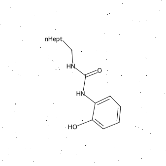 CCCCCCCCNC(=O)Nc1ccccc1O